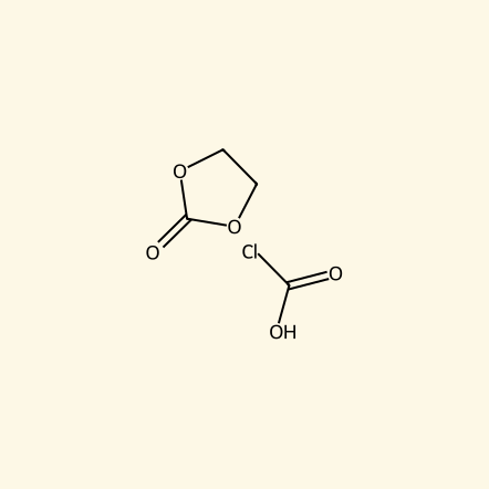 O=C(O)Cl.O=C1OCCO1